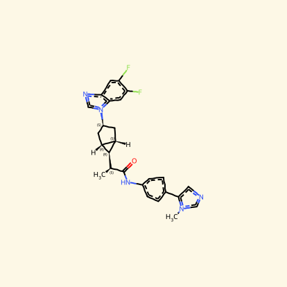 C[C@H](C(=O)Nc1ccc(-c2cncn2C)cc1)[C@H]1[C@@H]2C[C@@H](n3cnc4cc(F)c(F)cc43)C[C@@H]21